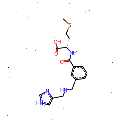 CSCC[C@H](NC(=O)c1cccc(CNCc2c[nH]cn2)c1)C(=O)O